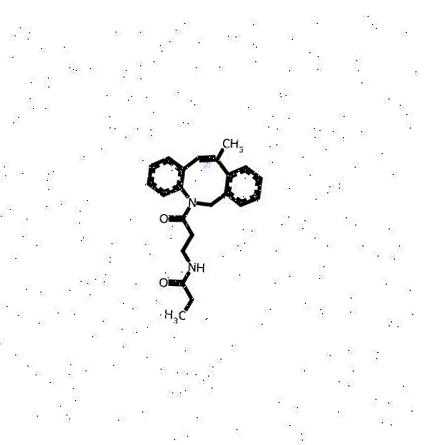 CCC(=O)NCCC(=O)N1Cc2ccccc2/C(C)=C\c2ccccc21